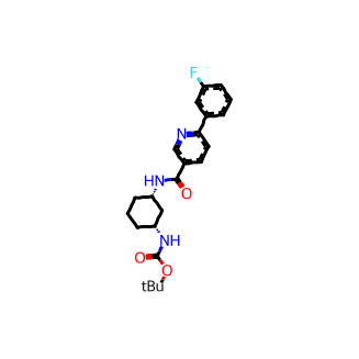 CC(C)(C)OC(=O)N[C@@H]1CCC[C@H](NC(=O)c2ccc(-c3cccc(F)c3)nc2)C1